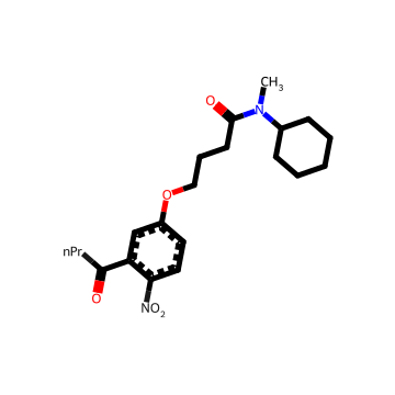 CCCC(=O)c1cc(OCCCC(=O)N(C)C2CCCCC2)ccc1[N+](=O)[O-]